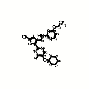 Cc1nc(-c2sc(Cl)cc2CNc2nccc(OCC(F)(F)F)n2)ncc1OC1CCCCC1